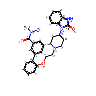 CCN(CC)C(=O)c1cccc(-c2ccccc2OCCN2CCC(n3c(=O)[nH]c4ccccc43)CC2)c1